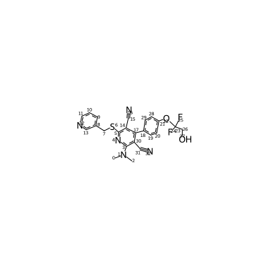 CN(C)c1nc(SCc2cccnc2)c(C#N)c(-c2ccc(OC(F)(F)CO)cc2)c1C#N